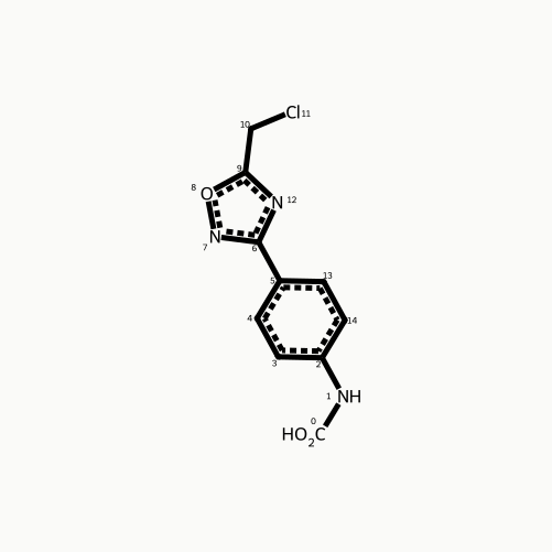 O=C(O)Nc1ccc(-c2noc(CCl)n2)cc1